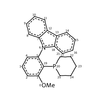 COc1cccc(-n2c3ccccc3c3ccccc32)c1P1CCCCC1